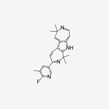 Cc1cc(C2=NC(C)(C)c3[nH]c4c(c3C=C2)=CC(C)(C)N=CC=4)cnc1F